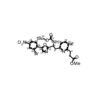 COC(=O)CCc1nc(CC(NC(=O)OC(C)(C)C)c2ncc(-c3ccc([N+](=O)[O-])cc3Br)o2)ccc1F